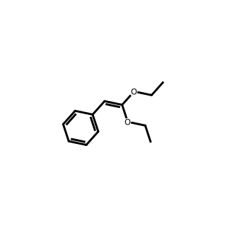 CCOC(=Cc1ccccc1)OCC